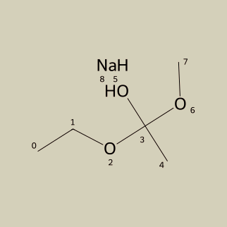 CCOC(C)(O)OC.[NaH]